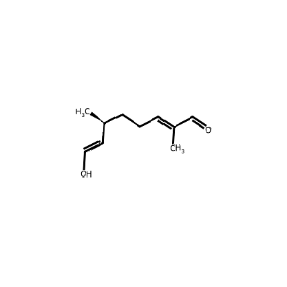 C/C(C=O)=C\CC[C@H](C)/C=C/O